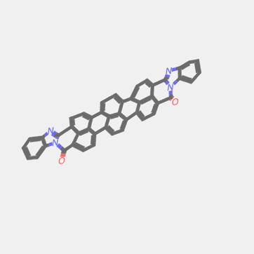 O=c1c2ccc3c4ccc5c6ccc7c(=O)n8c9ccccc9nc8c8ccc(c9ccc(c%10ccc(c2c3%10)c2nc3ccccc3n12)c4c59)c6c78